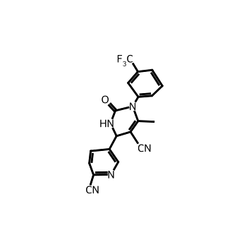 CC1=C(C#N)C(c2ccc(C#N)nc2)NC(=O)N1c1cccc(C(F)(F)F)c1